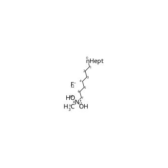 CCCCCCCCCCCCCC[N+](C)(O)O.[F-]